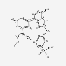 CCOC(=O)c1cc(F)cc(-c2ccc(F)c3cc(Cc4cccc(C(F)(F)F)c4)sc23)c1